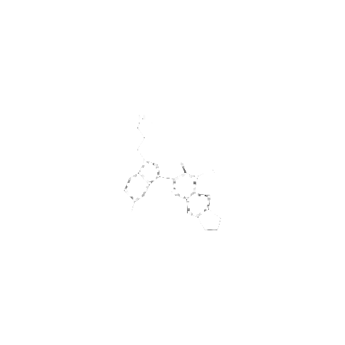 CC(=O)On1c(=O)c(-c2cn(CCCN)c3ccc(Br)cc23)nc2cc3c(cc21)CCC3